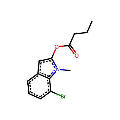 CCCC(=O)Oc1cc2cccc(Br)c2n1C